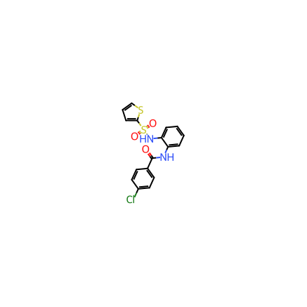 O=C(Nc1ccccc1NS(=O)(=O)c1cccs1)c1ccc(Cl)cc1